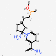 C=C(N)C1=CN(C2(N)CCC(CCP(C)OC)C2)C=CC1